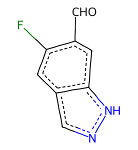 O=Cc1cc2[nH]ncc2cc1F